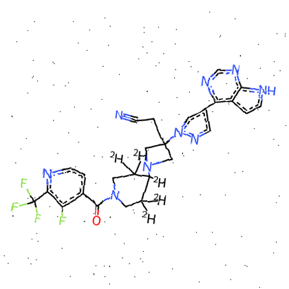 [2H]C1([2H])CN(C(=O)c2ccnc(C(F)(F)F)c2F)CC([2H])([2H])C1([2H])N1CC(CC#N)(n2cc(-c3ncnc4[nH]ccc34)cn2)C1